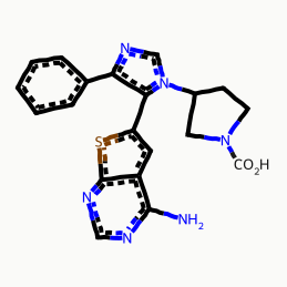 Nc1ncnc2sc(-c3c(-c4ccccc4)ncn3C3CCN(C(=O)O)C3)cc12